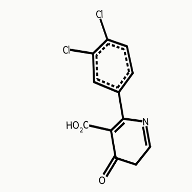 O=C(O)C1=C(c2ccc(Cl)c(Cl)c2)N=CCC1=O